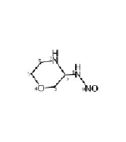 O=NNC1COCCN1